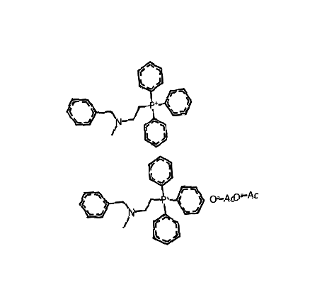 CC(=O)[O-].CC(=O)[O-].CN(CC[P+](c1ccccc1)(c1ccccc1)c1ccccc1)Cc1ccccc1.CN(CC[P+](c1ccccc1)(c1ccccc1)c1ccccc1)Cc1ccccc1